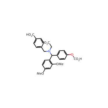 COc1ccc(C(c2ccc(OC(=O)O)cc2)N(CC(=O)O)Cc2ccc(C(=O)O)cc2)c(OC)c1